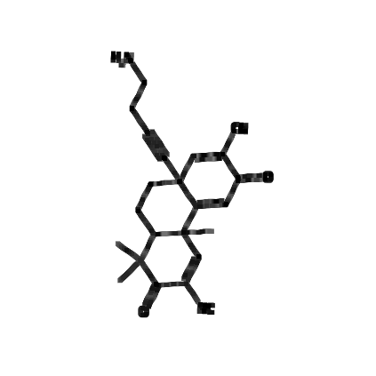 [C-]#[N+]C1=CC2(C)C3=CC(=O)C(C#N)=CC3(C#CCCN)CCC2C(C)(C)C1=O